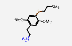 COc1cc(SCCSC)c(OC)cc1CCN